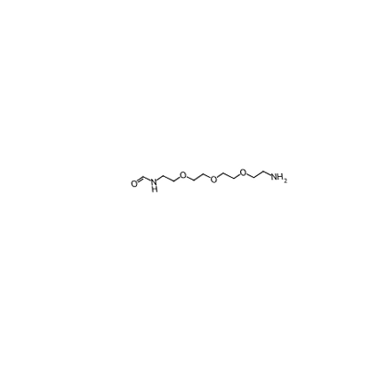 NCCOCCOCCOCCNC=O